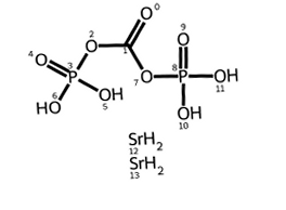 O=C(OP(=O)(O)O)OP(=O)(O)O.[SrH2].[SrH2]